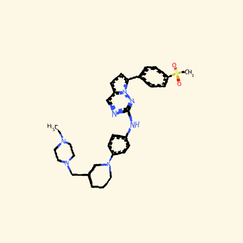 CN1CCN(CC2CCCN(c3ccc(Nc4ncc5ccc(-c6ccc(S(C)(=O)=O)cc6)n5n4)cc3)C2)CC1